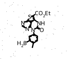 Bc1cc(N2C(=O)Nc3c(C(=O)OCC)sc4ncnc2c34)ccc1C